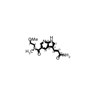 COCCN(C)C(=O)c1cnc2[nH]cc(C=CC(N)=O)c2c1